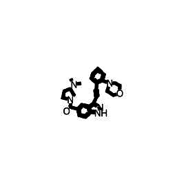 CN(C)C1CCN(C(=O)c2ccc3[nH]nc(C#Cc4ccccc4N4CCOCC4)c3c2)C1